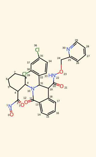 O=NC(=O)C1CCCCC1N1C(=O)c2ccccc2C(C(=O)NOCc2ccccn2)C1c1ccc(Cl)cc1Cl